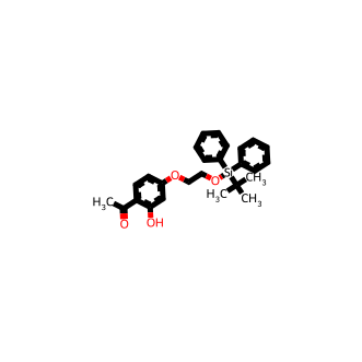 CC(=O)c1ccc(OCCO[Si](c2ccccc2)(c2ccccc2)C(C)(C)C)cc1O